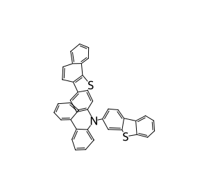 c1ccc(-c2ccccc2N(c2ccc3c(c2)sc2ccccc23)c2ccc3c(c2)sc2c4ccccc4ccc32)cc1